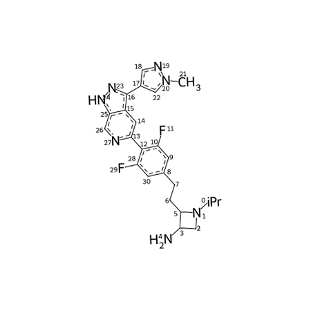 CC(C)N1CC(N)C1CCc1cc(F)c(-c2cc3c(-c4cnn(C)c4)n[nH]c3cn2)c(F)c1